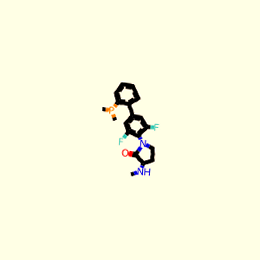 CNC1CCN(c2c(F)cc(-c3ccccc3P(C)C)cc2F)C1=O